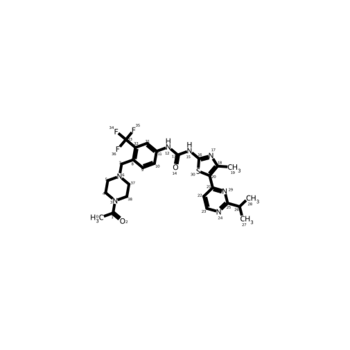 CC(=O)N1CCN(Cc2ccc(NC(=O)Nc3nc(C)c(-c4ccnc(C(C)C)n4)s3)cc2C(F)(F)F)CC1